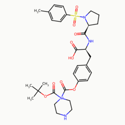 Cc1ccc(S(=O)(=O)N2CCC[C@H]2C(=O)N[C@@H](Cc2ccc(OC(=O)[N+]3(C(=O)OC(C)(C)C)CCNCC3)cc2)C(=O)O)cc1